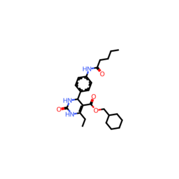 CCCCC(=O)Nc1ccc(C2NC(=O)NC(CC)=C2C(=O)OCC2CCCCC2)cc1